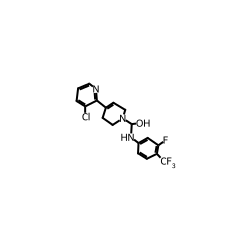 OC(Nc1ccc(C(F)(F)F)c(F)c1)N1CC=C(c2ncccc2Cl)CC1